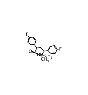 CC1(C)NC(=O)C(c2ccc(F)cc2)CC1c1ccc(F)cc1